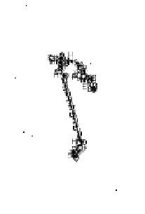 CCC1(O)C(=O)OCc2c1cc1n(c2=O)Cc2c-1nc1cc(F)c(C)cc1c2CN1CCC2(CC1)CC(OCNC(=O)CNC(=O)[C@H](Cc1ccccc1)NC(=O)CNC(=O)CNC(=O)COCCOCCOCCOCCOCCOCCOCCOCCOCCNC(=O)C1CCC(CN3C(=O)C=CC3=O)CC1)C2